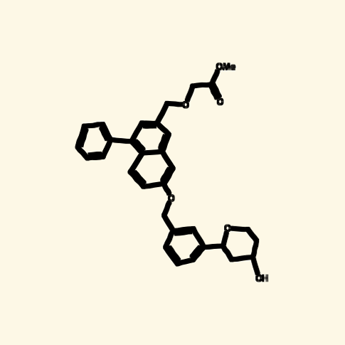 COC(=O)COCc1cc(-c2ccccc2)c2ccc(OCc3cccc(C4CC(O)CCO4)c3)cc2c1